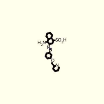 Nc1c(/N=N/c2cccc(OCc3ccccn3)c2)cc(S(=O)(=O)O)c2ccccc12